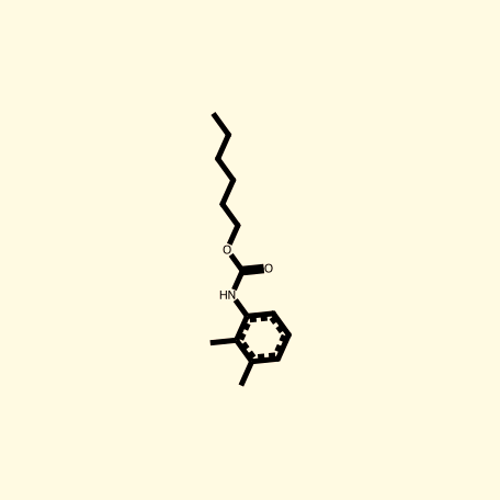 CCCCCCOC(=O)Nc1cccc(C)c1C